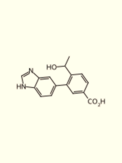 CC(O)c1ccc(C(=O)O)cc1-c1ccc2[nH]cnc2c1